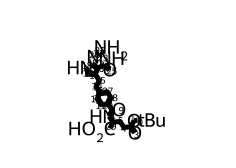 CC(C)(C)OC(=O)CCC(NC(=O)c1ccc(CCc2c[nH]c3nc(N)[nH]c(=O)c23)cc1)C(=O)O